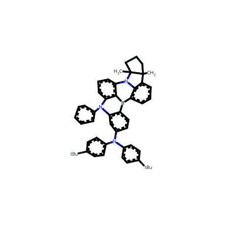 CC(C)(C)c1ccc(N(c2ccc(C(C)(C)C)cc2)c2ccc3c(c2)N(c2ccccc2)c2cccc4c2B3c2cccc3c2N4C2(C)CCCC32C)cc1